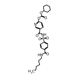 CCCCCCNC(=O)c1ccc(S(=O)(=O)NC(=O)c2ccc(OC(=O)OC3CCCCC3)nc2)cc1